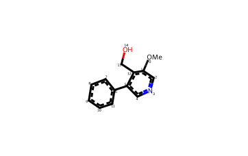 COc1cncc(-c2ccccc2)c1CO